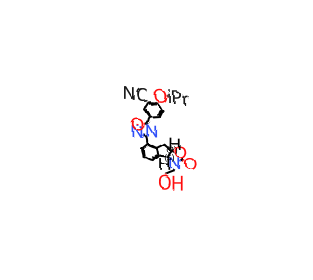 CC(C)Oc1ccc(-c2nc(-c3cccc4c3C[C@H]3OC(=O)N(CCO)[C@@H]43)no2)cc1C#N